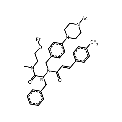 CCOCCN(C)C(=O)[C@H](Cc1ccccc1)N(Cc1ccc(N2CCN(C(C)=O)CC2)cc1)C(=O)C=Cc1ccc(C(F)(F)F)cc1